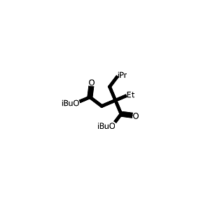 CCC(CC(=O)OCC(C)C)(CC(C)C)C(=O)OCC(C)C